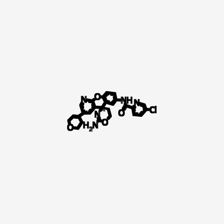 NC1=N[C@@]2(CCO1)c1cc(NC(=O)c3ccc(Cl)cn3)ccc1Oc1ncc(C3=CCOCC3)cc12